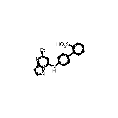 CCc1cc(Nc2ccc(-c3ccccc3S(=O)(=O)O)cc2)n2nccc2n1